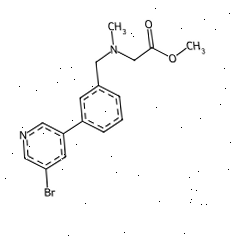 COC(=O)CN(C)Cc1cccc(-c2cncc(Br)c2)c1